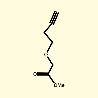 C#CCCOCC(=O)OC